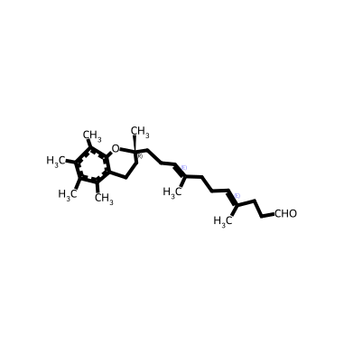 C/C(=C\CC/C(C)=C/CC[C@]1(C)CCc2c(C)c(C)c(C)c(C)c2O1)CCC=O